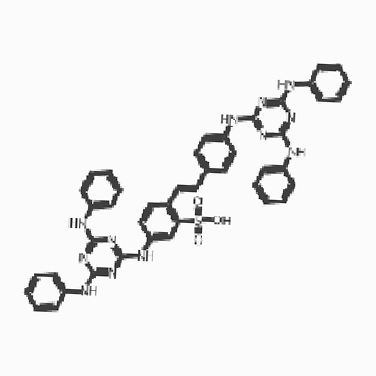 O=S(=O)(O)c1cc(Nc2nc(Nc3ccccc3)nc(Nc3ccccc3)n2)ccc1C=Cc1ccc(Nc2nc(Nc3ccccc3)nc(Nc3ccccc3)n2)cc1